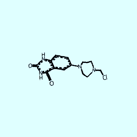 O=c1[nH]c(=O)c2cc(N3CCN(CCl)CC3)ccc2[nH]1